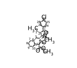 CCc1c(C=Cc2ccccc2C(=COC)C(=O)OC)noc1-c1ccc(Cl)cc1